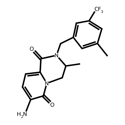 Cc1cc(CN2C(=O)c3ccc(N)c(=O)n3CC2C)cc(C(F)(F)F)c1